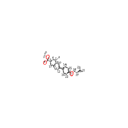 CCOC(=O)c1cc(C)c(C=C(C)c2ccc(OCC=C(C)C)cc2)c(C)c1